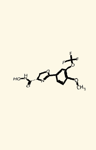 COc1ccc(C2=N[C@H](C(=O)NO)CO2)cc1OC(F)(F)F